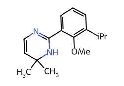 COc1c(C2=NC=CC(C)(C)N2)cccc1C(C)C